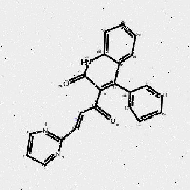 O=C(/C=C/c1ncccn1)c1c(-c2ccccc2)c2ccccc2[nH]c1=O